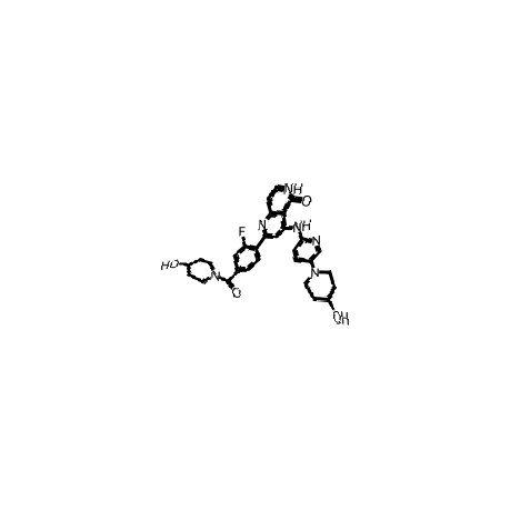 O=C(c1ccc(-c2cc(Nc3ccc(N4CCC(O)CC4)cn3)c3c(=O)[nH]ccc3n2)c(F)c1)N1CCC(O)CC1